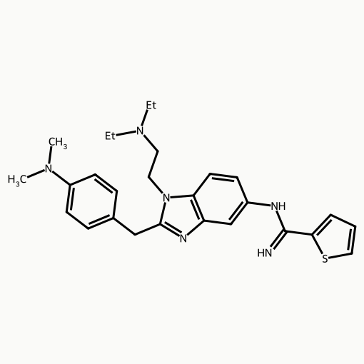 CCN(CC)CCn1c(Cc2ccc(N(C)C)cc2)nc2cc(NC(=N)c3cccs3)ccc21